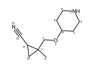 CC1(COC2CCNCC2)CC1C#N